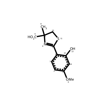 COc1ccc(C2=NC(C)(C(=O)O)CS2)c(O)c1